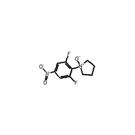 O=[N+]([O-])c1cc(F)c([N+]2([O-])CCCC2)c(F)c1